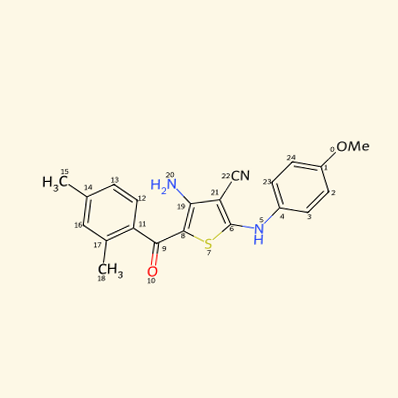 COc1ccc(Nc2sc(C(=O)c3ccc(C)cc3C)c(N)c2C#N)cc1